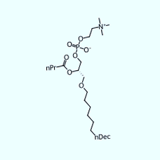 CCCCCCCCCCCCCCCCOC[C@@H](COP(=O)([O-])OCC[N+](C)(C)C)OC(=O)CCC